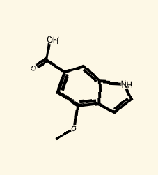 COc1cc(C(=O)O)cc2[nH]ccc12